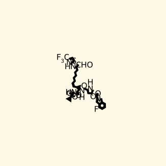 O=CC(CCCCC/C=C\C1CC1(NC(=O)C1C[C@@H](OC(=O)N2Cc3cccc(F)c3C2)CN1)C(=O)NS(=O)(=O)C1CC1)Nc1nc(C(F)(F)F)cs1